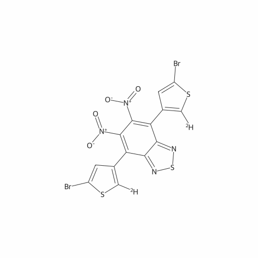 [2H]c1sc(Br)cc1-c1c([N+](=O)[O-])c([N+](=O)[O-])c(-c2cc(Br)sc2[2H])c2nsnc12